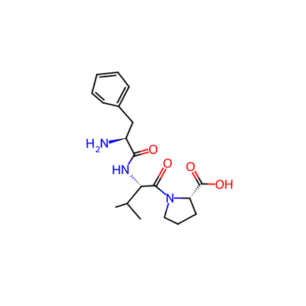 CC(C)[C@H](NC(=O)[C@@H](N)Cc1ccccc1)C(=O)N1CCC[C@H]1C(=O)O